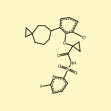 O=C(NS(=O)(=O)c1cccc(F)n1)C1(Oc2c(Cl)cccc2C2CCCC3(CC2)CC3)CC1